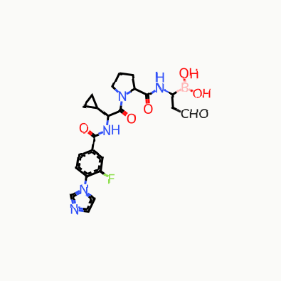 O=CCC(NC(=O)C1CCCN1C(=O)C(NC(=O)c1ccc(-n2ccnc2)c(F)c1)C1CC1)B(O)O